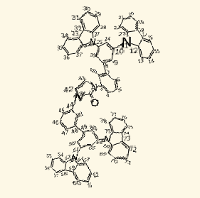 O=c1n(-c2cccc(-c3cc(-n4c5ccccc5c5ccccc54)cc(-n4c5ccccc5c5ccccc54)c3)c2)ccn1-c1cccc(-c2cc(-n3c4ccccc4c4ccccc43)cc(-n3c4ccccc4c4ccccc43)c2)c1